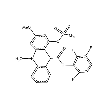 COc1cc(OS(=O)(=O)C(F)(F)F)c2c(c1)N(C)c1ccccc1C2C(=O)Oc1c(F)ccc(F)c1F